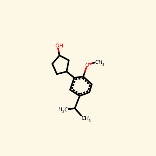 COc1ccc(C(C)C)cc1C1CCC(O)C1